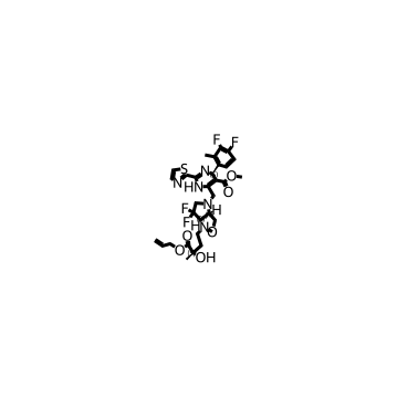 C=CCOC(=O)[C@@](C)(O)CCN1OC[C@H]2[C@@H]1C(F)(F)CN2CC1=C(C(=O)OC)[C@H](c2ccc(F)c(F)c2C)N=C(c2nccs2)N1